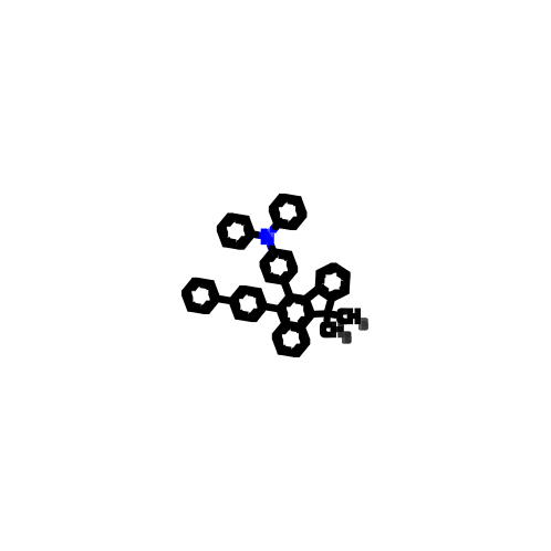 CC1(C)c2ccccc2-c2c(-c3ccc(N(c4ccccc4)c4ccccc4)cc3)c(-c3ccc(-c4ccccc4)cc3)c3ccccc3c21